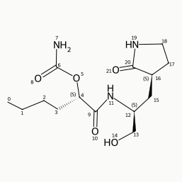 CCCC[C@H](OC(N)=O)C(=O)N[C@H](CO)C[C@@H]1CCNC1=O